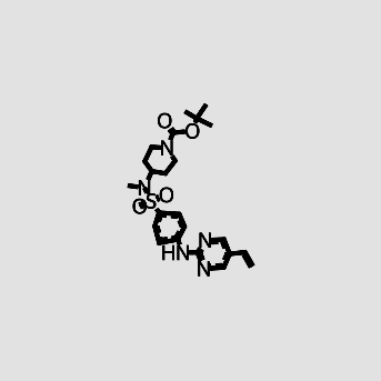 C=Cc1cnc(Nc2ccc(S(=O)(=O)N(C)C3CCN(C(=O)OC(C)(C)C)CC3)cc2)nc1